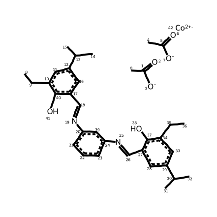 CC(=O)[O-].CC(=O)[O-].CCc1cc(C(C)C)cc(C=Nc2cccc(N=Cc3cc(C(C)C)cc(CC)c3O)c2)c1O.[Co+2]